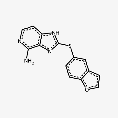 Nc1nccc2[nH]c(Sc3ccc4occc4c3)nc12